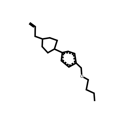 C=CCC1CCC(c2ccc(COCCCC)cc2)CC1